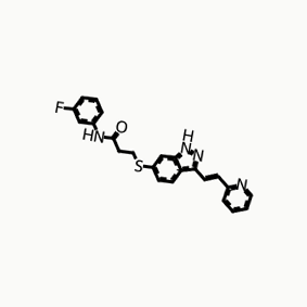 O=C(CCSc1ccc2c(C=Cc3ccccn3)n[nH]c2c1)Nc1cccc(F)c1